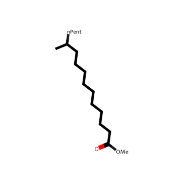 CCCCCC(C)CCCCCCCCCC(=O)OC